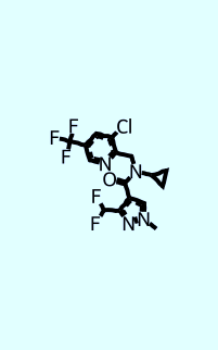 Cn1cc(C(=O)N(Cc2ncc(C(F)(F)F)cc2Cl)C2CC2)c(C(F)F)n1